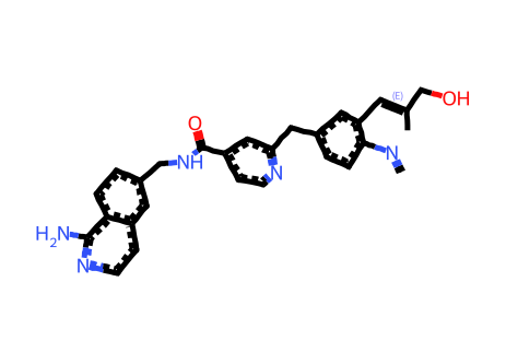 C=Nc1ccc(Cc2cc(C(=O)NCc3ccc4c(N)nccc4c3)ccn2)cc1/C=C(\C)CO